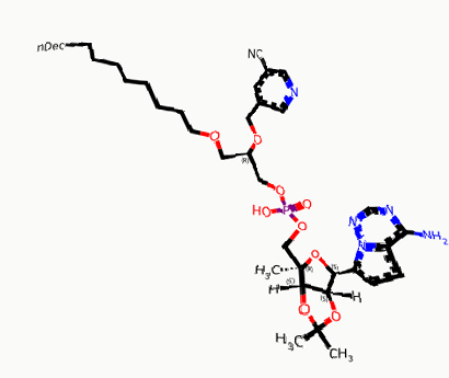 CCCCCCCCCCCCCCCCCCOC[C@H](COP(=O)(O)OC[C@@]1(C)O[C@@H](c2ccc3c(N)ncnn23)[C@@H]2OC(C)(C)O[C@@H]21)OCc1cncc(C#N)c1